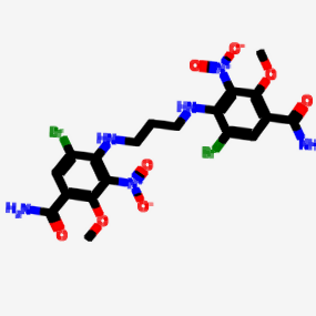 COc1c(C(N)=O)cc(Br)c(NCCCNc2c(Br)cc(C(N)=O)c(OC)c2[N+](=O)[O-])c1[N+](=O)[O-]